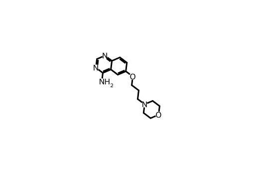 Nc1ncnc2ccc(OCCCN3CCOCC3)cc12